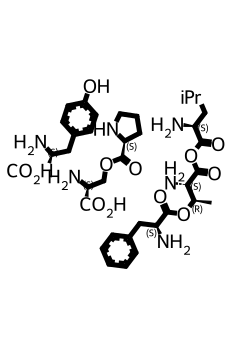 CC(C)C[C@H](N)C(=O)OC(=O)[C@@H](N)[C@@H](C)OC(=O)[C@@H](N)Cc1ccccc1.N[C@@H](COC(=O)[C@@H]1CCCN1)C(=O)O.N[C@@H](Cc1ccc(O)cc1)C(=O)O